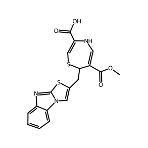 COC(=O)C1=CNC(C(=O)O)=CSC1Cc1cn2c(nc3ccccc32)s1